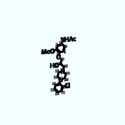 COc1cc(NC(C)=O)ccc1OCC(O)CN1CCN(c2ccccc2Cl)CC1